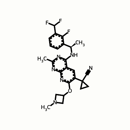 Cc1nc(N[C@H](C)c2cccc(C(F)F)c2F)c2cc(C3(C#N)CC3)c(OC3CN(C)C3)nc2n1